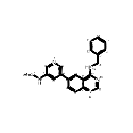 CSNc1cncc(-c2ccc3ncnc(NCc4ccccc4)c3c2)c1